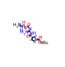 BNPOC(=O)/N=C(\N)NC(=O)[C@H]1CCN(C(=O)OC(C)(C)C)C1